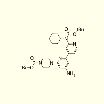 CC(C)(C)OC(=O)N1CCN(c2cc(N)cc(-c3ccnc(N(C(=O)OC(C)(C)C)C4CCCCC4)c3)n2)CC1